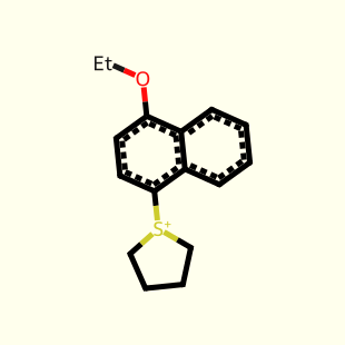 CCOc1ccc([S+]2CCCC2)c2ccccc12